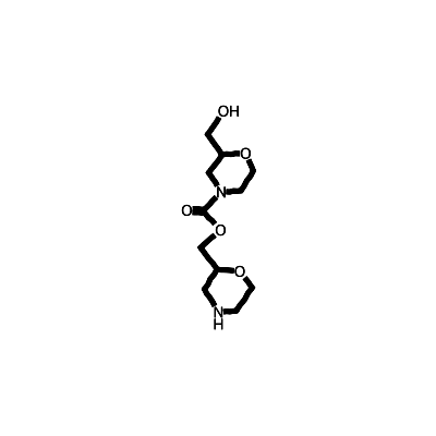 O=C(OCC1CNCCO1)N1CCOC(CO)C1